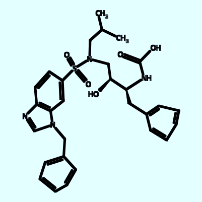 CC(C)CN(C[C@H](O)[C@H](Cc1ccccc1)NC(=O)O)S(=O)(=O)c1ccc2ncn(Cc3ccccc3)c2c1